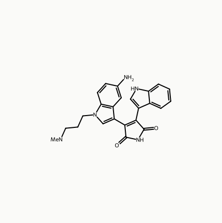 CNCCCn1cc(C2=C(c3c[nH]c4ccccc34)C(=O)NC2=O)c2cc(N)ccc21